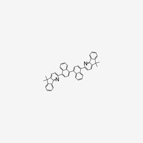 CC1(C)c2ccccc2-c2nc(-c3ccc(-c4ccc(-c5ccc6c(n5)-c5ccccc5C6(C)C)c5ccccc45)c4ccccc34)ccc21